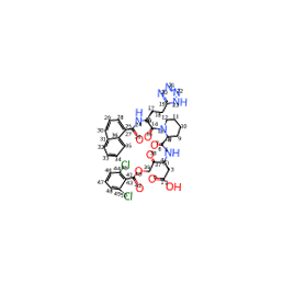 O=C(O)C[C@H](NC(=O)[C@@H]1CCCCN1C(=O)[C@H](CCc1nnn[nH]1)NC(=O)c1cccc2ccccc12)C(=O)COC(=O)c1c(Cl)cccc1Cl